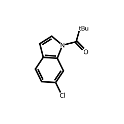 CC(C)(C)C(=O)n1ccc2ccc(Cl)cc21